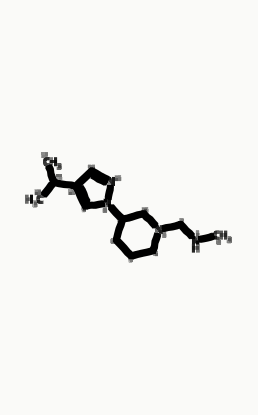 CNCN1CCCC(n2cc(C(C)C)cn2)C1